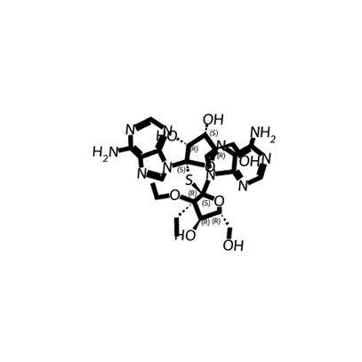 CCO[C@]1(CC)[C@H](O)[C@@H](CO)O[C@@]1(S[C@@]1(n2cnc3c(N)ncnc32)O[C@H](CO)[C@@H](O)[C@H]1O)n1cnc2c(N)ncnc21